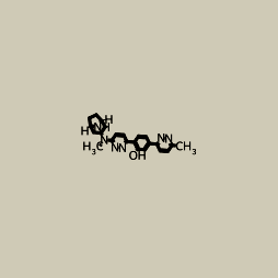 Cc1ccc(-c2ccc(-c3ccc(N(C)C4C[C@H]5CC[C@@H](C4)N5)nn3)c(O)c2)nn1